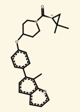 Cc1c(-c2ccc(OC3CCN(C(=O)[C@H]4CC4(C)C)CC3)cc2)ccc2cccnc12